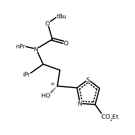 CCCN(C(=O)OC(C)(C)C)C(C[C@@H](O)c1nc(C(=O)OCC)cs1)C(C)C